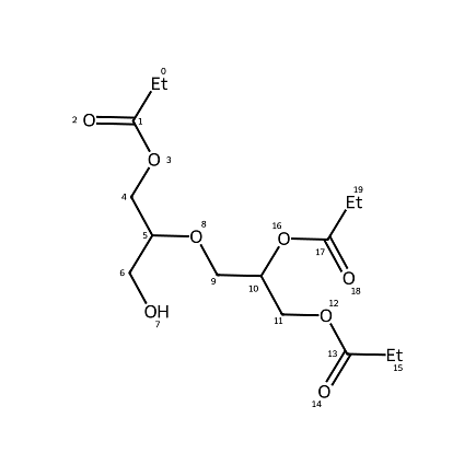 CCC(=O)OCC(CO)OCC(COC(=O)CC)OC(=O)CC